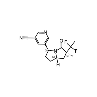 CC(F)(F)[C@@]1(C)C[C@@H]2CC[C@@H](c3cncc(C#N)c3)N2C1=O